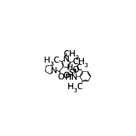 Cc1cccc(C)c1NS(=O)(=O)c1c(C(=O)N2CCCC2)c(C)n(C)c1C